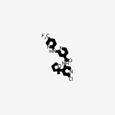 CC1(c2cc(Cl)ncc2NC(=O)c2ccnc(Nc3ccc(C(F)(F)F)cn3)c2)CCCO1